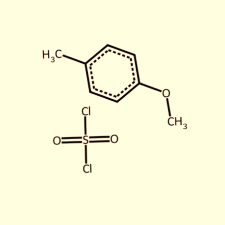 COc1ccc(C)cc1.O=S(=O)(Cl)Cl